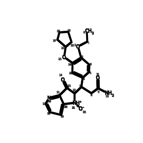 CCOc1ccc(C(CC(N)=O)C2C(=O)c3ncccc3[NH+]2[O-])cc1OC1CCCC1